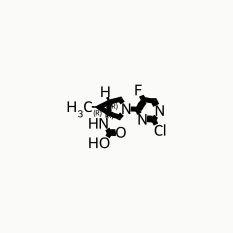 C[C@@H]1[C@@H]2CN(c3nc(Cl)ncc3F)C[C@@]12NC(=O)O